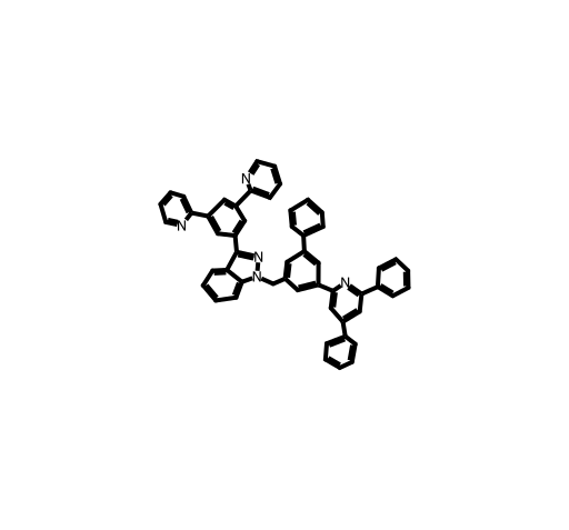 c1ccc(-c2cc(Cn3nc(-c4cc(-c5ccccn5)cc(-c5ccccn5)c4)c4ccccc43)cc(-c3cc(-c4ccccc4)cc(-c4ccccc4)n3)c2)cc1